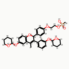 CC1=C(c2cccc(OC3CCCCO3)c2)C(c2ccc(OCCOS(C)(=O)=O)cc2)Oc2ccc(OC3CCCCO3)cc21